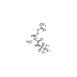 CC(=O)CCN[C@@H](C)C(=O)NS(=O)(=O)C(F)(F)F